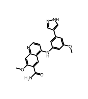 COc1cc(Nc2ccnc3cc(OC)c(C(N)=O)cc23)cc(-c2cn[nH]c2)c1